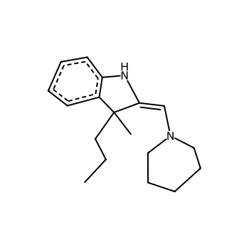 CCCC1(C)/C(=C\N2CCCCC2)Nc2ccccc21